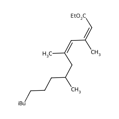 CCOC(=O)C=C(C)C=C(C)CC(C)CCCC(C)CC